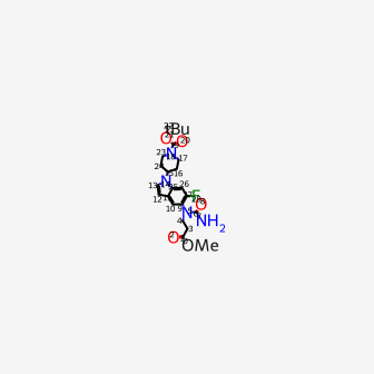 COC(=O)CCN(C(N)=O)c1cc2ccn(C3CCN(C(=O)OC(C)(C)C)CC3)c2cc1F